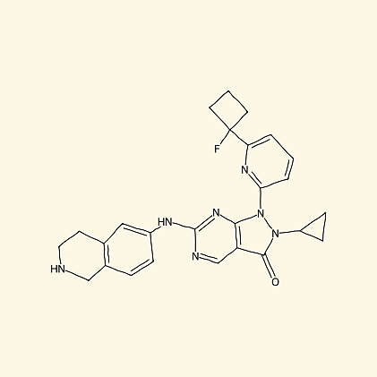 O=c1c2cnc(Nc3ccc4c(c3)CCNC4)nc2n(-c2cccc(C3(F)CCC3)n2)n1C1CC1